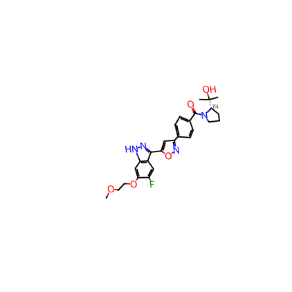 COCCOc1cc2[nH]nc(-c3cc(-c4ccc(C(=O)N5CCC[C@H]5C(C)(C)O)cc4)no3)c2cc1F